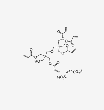 C=CC(=O)OCC(CO)(COCC(COC(=O)C=C)(COC(=O)C=C)COC(=O)C=C)COC(=O)C=C.O=C(O)/C=C\C(=O)O